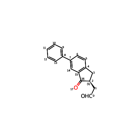 O=CC[C@@H]1Cc2ccc(-c3ccccc3)cc2C1=O